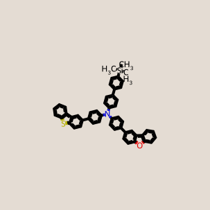 C[Si](C)(C)c1ccc(-c2ccc(N(c3ccc(-c4ccc5oc6ccccc6c5c4)cc3)c3ccc(-c4ccc5sc6ccccc6c5c4)cc3)cc2)cc1